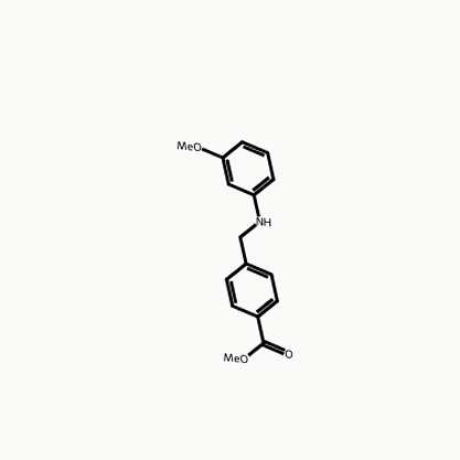 COC(=O)c1ccc(CNc2cccc(OC)c2)cc1